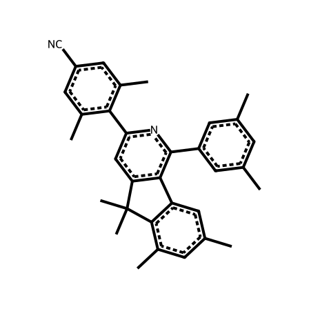 Cc1cc(C)cc(-c2nc(-c3c(C)cc(C#N)cc3C)cc3c2-c2cc(C)cc(C)c2C3(C)C)c1